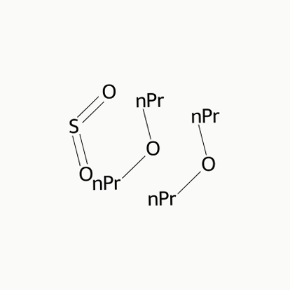 CCCOCCC.CCCOCCC.O=S=O